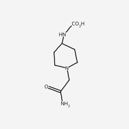 NC(=O)CN1CCC(NC(=O)O)CC1